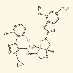 CC(C)Oc1cc(C(=O)O)cc2sc(N3C[C@@H]4OC[C@@H](NCc5c(-c6c(Cl)cccc6Cl)noc5C5CC5)[C@]4(C)C3)nc12